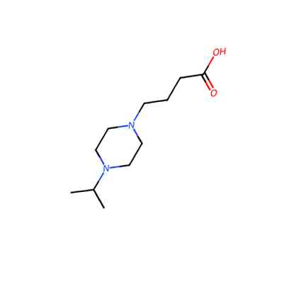 CC(C)N1CCN(CCCC(=O)O)CC1